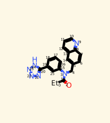 CCC(=O)N(Cc1ccc2ncccc2c1)c1cccc(-c2nnn[nH]2)c1